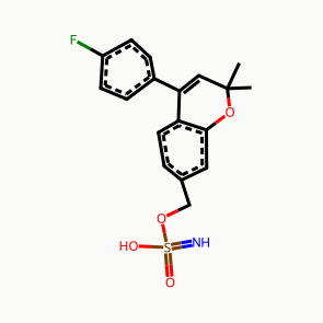 CC1(C)C=C(c2ccc(F)cc2)c2ccc(COS(=N)(=O)O)cc2O1